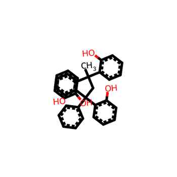 CC(CC(c1ccccc1)(c1ccccc1O)c1ccccc1O)(c1ccccc1O)c1ccccc1O